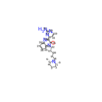 C[C@@H]1CCC[C@H](C)N1CCCCCn1c(=O)c(-c2ccnc(N)n2)nc2ccccc21